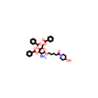 N[C@H]1C(OC(=O)c2ccccc2)[C@@H](OC(=O)c2ccccc2)C(COC(=O)c2ccccc2)O[C@H]1OCCCCC(=O)N1CCC(O)CC1